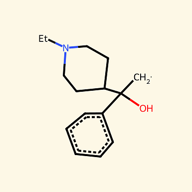 [CH2]C(O)(c1ccccc1)C1CCN(CC)CC1